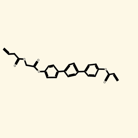 C=CCC(=O)OCC(=O)Oc1ccc(-c2ccc(-c3ccc(OC(=O)C=C)cc3)cc2)cc1